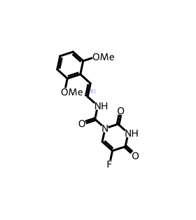 COc1cccc(OC)c1/C=C/NC(=O)n1cc(F)c(=O)[nH]c1=O